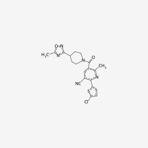 Cc1nc(C2CCN(C(=O)c3cc(C#N)c(-c4ccc(Cl)s4)nc3C)CC2)no1